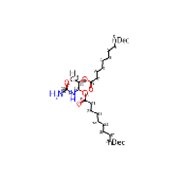 CCCCCCCCCCCCCCCCCC(=O)OC(C)C(NC(N)=O)OC(=O)CCCCCCCCCCCCCCCCC